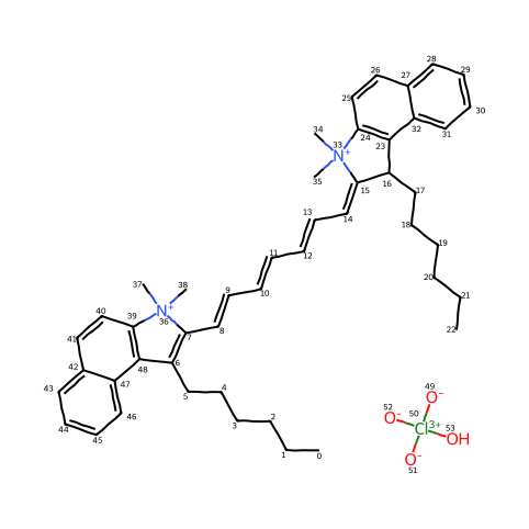 CCCCCCC1=C(C=CC=CC=CC=C2C(CCCCCC)c3c(ccc4ccccc34)[N+]2(C)C)[N+](C)(C)c2ccc3ccccc3c21.[O-][Cl+3]([O-])([O-])O